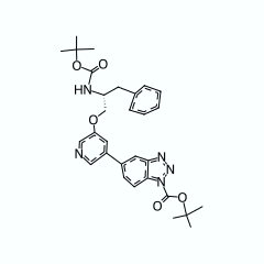 CC(C)(C)OC(=O)N[C@@H](COc1cncc(-c2ccc3c(c2)nnn3C(=O)OC(C)(C)C)c1)Cc1ccccc1